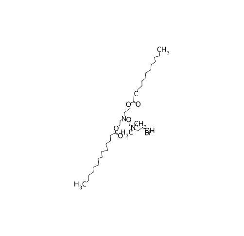 CCCCCCCCCCCCCC(=O)OCCN(CCOC(=O)CCCCCCCCCCCCC)OC[N+](C)(C)CCO.[Br-]